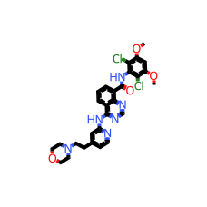 COc1cc(OC)c(Cl)c(NC(=O)c2cccc3c(Nc4cc(CCN5CCOCC5)ccn4)ncnc23)c1Cl